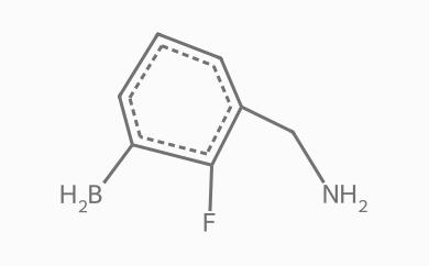 Bc1cccc(CN)c1F